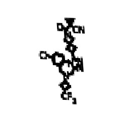 N#CC1(C(=O)N2CC3(CC(c4nnc5n4-c4ccc(Cl)cc4CN(C4CC(C(F)(F)F)C4)C5)C3)C2)CC1